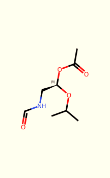 CC(=O)O[C@H](CNC=O)OC(C)C